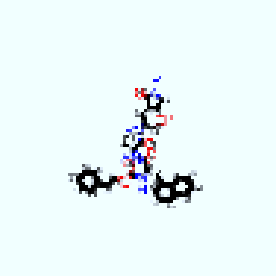 CC(C)C[C@H](NC(=O)[C@H](Cc1cccc2ccccc12)NC(=O)OCCc1ccccc1)C(=O)N[C@H](CO)C[C@@H]1CCNC1=O